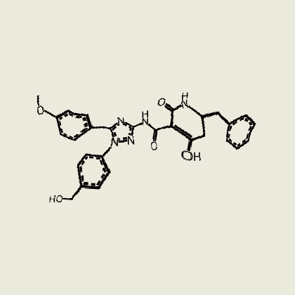 COc1ccc(-c2nc(NC(=O)C3=C(O)CC(Cc4ccccc4)NC3=O)nn2-c2ccc(CO)cc2)cc1